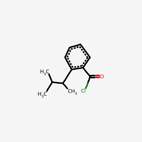 CC(C)C(C)c1ccccc1C(=O)Cl